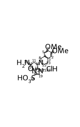 COc1cc2c(cc1OC)CN(C(CC(N)=O)c1nc(S(=O)(=O)O)cn1C)CC2.Cl